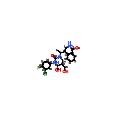 CC(c1c[nH]c(=O)c2ccccc12)N(CC(CO)CO)C(=O)Nc1ccc(F)c(Cl)c1